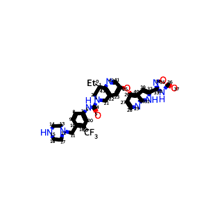 CC[C@H]1CN(C(=O)Nc2ccc(CN3CCNCC3)c(C(F)(F)F)c2)Cc2cc(Oc3ccnc4[nH]c(-c5noc(=O)[nH]5)cc34)cnc21